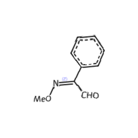 CO/N=C(\C=O)c1ccccc1